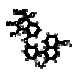 CNS(=O)(=O)c1cccc(Oc2cccc(-c3c(C)cnc4c(C(F)(F)F)cccc34)c2)c1C(OC)C(C)C